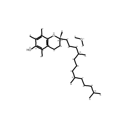 COC.Cc1c(C)c2c(c(C)c1O)CC[C@@](C)(CCCC(C)CCCC(C)CCCC(C)C)O2